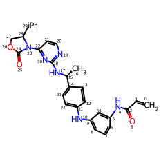 C=CC(=O)Nc1cccc(Nc2ccc([C@H](C)Nc3nccc(N4C(=O)OCC4C(C)C)n3)cc2)c1